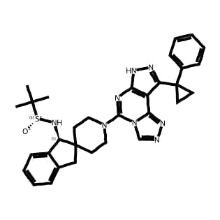 CC(C)(C)[S@@+]([O-])N[C@@H]1c2ccccc2CC12CCN(c1nc3[nH]nc(C4(c5ccccc5)CC4)c3c3nncn13)CC2